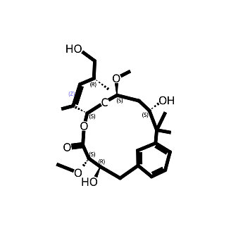 CO[C@@H]1C[C@@H](/C(C)=C\[C@@H](C)CO)OC(=O)[C@@H](OC)[C@H](O)Cc2cccc(c2)C(C)(C)[C@@H](O)C1